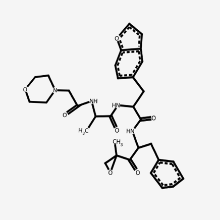 CC(NC(=O)CN1CCOCC1)C(=O)NC(Cc1ccc2occc2c1)C(=O)NC(Cc1ccccc1)C(=O)C1(C)CO1